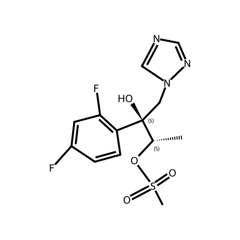 C[C@H](OS(C)(=O)=O)[C@@](O)(Cn1cncn1)c1ccc(F)cc1F